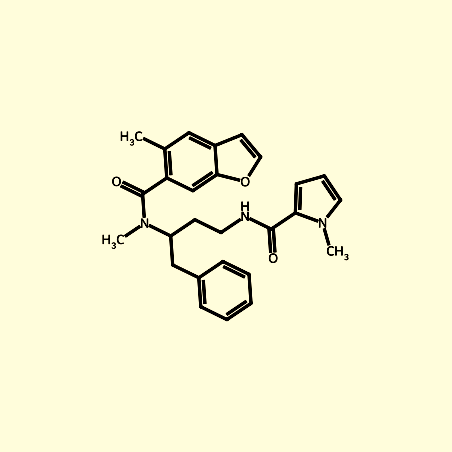 Cc1cc2ccoc2cc1C(=O)N(C)C(CCNC(=O)c1cccn1C)Cc1ccccc1